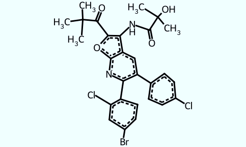 CC(C)(C)C(=O)c1oc2nc(-c3ccc(Br)cc3Cl)c(-c3ccc(Cl)cc3)cc2c1NC(=O)C(C)(C)O